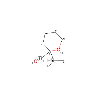 C[SiH](C)[C]1([Ti]=[O])CCCCO1